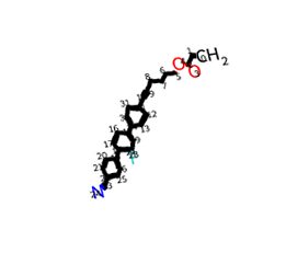 C=CC(=O)OCCCCC#Cc1ccc(-c2ccc(-c3ccc(C#N)cc3)c(F)c2)cc1